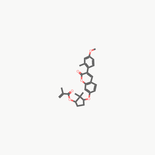 C=C(C)C(=O)OC1CCC(Oc2ccc3cc(-c4ccc(OC)cc4C)c(=O)oc3c2)C1(C)C